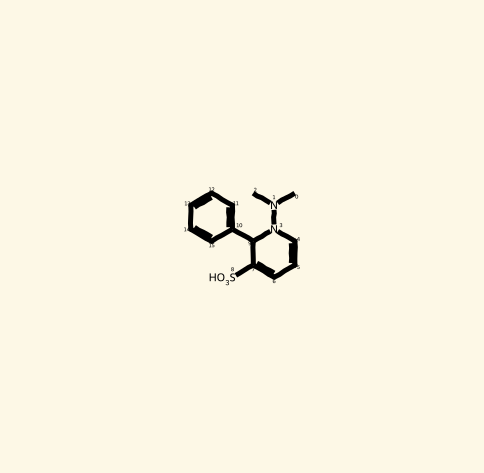 CN(C)N1C=CC=C(S(=O)(=O)O)C1c1ccccc1